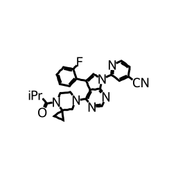 CC(C)C(=O)N1CCN(c2ncnc3c2c(-c2ccccc2F)cn3-c2cc(C#N)ccn2)CC12CC2